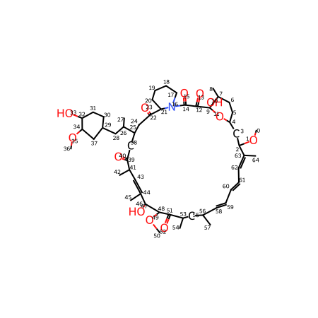 COC1CC2CCC(C)C(O)(O2)C(=O)C(=O)N2CCCCC2C(=O)CC(C(C)CC2CCC(O)C(OC)C2)CC(=O)C(C)/C=C(\C)C(O)C(OC)C(=O)C(C)CC(C)/C=C/C=C/C=C/1C